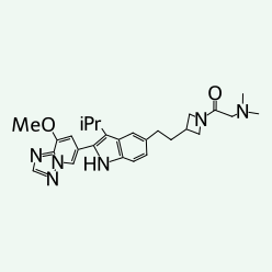 COc1cc(-c2[nH]c3ccc(CCC4CN(C(=O)CN(C)C)C4)cc3c2C(C)C)cn2ncnc12